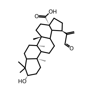 C=C(C=O)[C@@H]1CC[C@]2(C(=O)O)CC[C@]3(C)C(CCC4[C@@]5(C)CC[C@H](O)C(C)(C)C5CC[C@]43C)C12